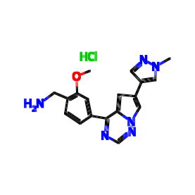 COc1cc(-c2ncnn3cc(-c4cnn(C)c4)cc23)ccc1CN.Cl